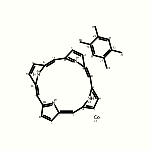 C1=Cc2cc3ccc(cc4nc(cc5ccc(cc1n2)[nH]5)C=C4)[nH]3.Cc1cc(C)c(C)cc1C.[Co]